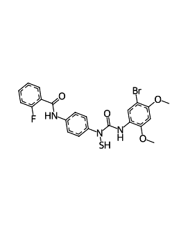 COc1cc(OC)c(NC(=O)N(S)c2ccc(NC(=O)c3ccccc3F)cc2)cc1Br